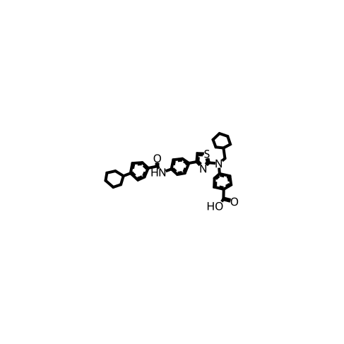 O=C(O)c1ccc(N(CC2CCCCC2)c2nc(-c3ccc(NC(=O)c4ccc(C5CCCCC5)cc4)cc3)cs2)cc1